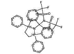 CCC(C)(N1[PH](c2ccccc2)(c2ccccc2)CC[PH]1(c1ccccc1)c1ccccc1)N(S(=O)(=O)C(F)(F)F)S(=O)(=O)C(F)(F)F